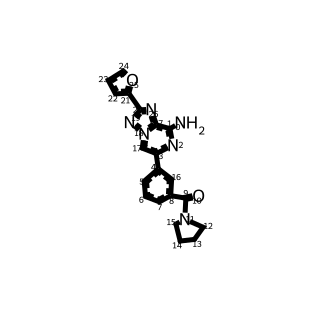 Nc1nc(-c2cccc(C(=O)N3CCCC3)c2)cn2nc(-c3ccco3)nc12